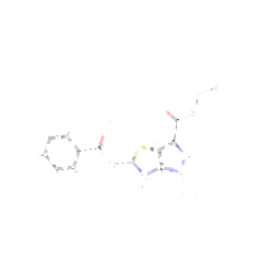 CC(C)CNC(=O)c1nn(C(C)(C)C)c2nc(NC(=O)c3ccccc3)sc12